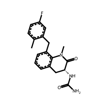 Cc1ccc(F)cc1Cc1cccc2c1N(C)C(=O)[C@H](NC(N)=O)C2